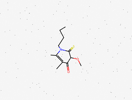 CCCCN1C(=S)C(OC)C(=O)C(C)=C1C